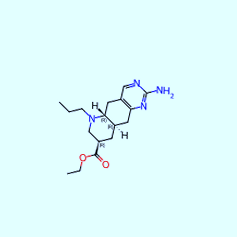 CCCN1C[C@H](C(=O)OCC)C[C@@H]2Cc3nc(N)ncc3C[C@H]21